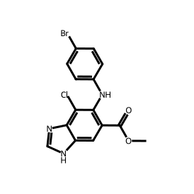 COC(=O)c1cc2[nH]cnc2c(Cl)c1Nc1ccc(Br)cc1